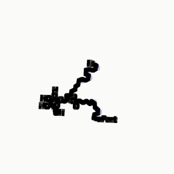 CC/C=C\C/C=C\C/C=C\C/C=C\CCCCC(=O)O[C@H](COC(=O)CCCC/C=C\C/C=C\C/C=C\CCCCC)CO[C@@H]1O[C@H](CO)[C@H](O)C(O)C1O